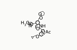 CC(=O)c1cc(C(=O)Nc2cc(COC3CCCCO3)cc(-c3cnn(C)c3)c2F)c2cc(OCC3CC3)ccn12